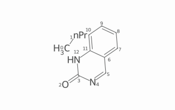 CCCC.O=c1ncc2ccccc2[nH]1